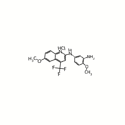 COc1ccc2nc(Nc3ccc(OC)c(N)c3)cc(C(F)(F)F)c2c1.Cl